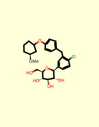 CO[C@H]1CCCC(Oc2ccc(Cc3cc([C@@H]4O[C@H](CO)[C@@H](O)[C@H](O)[C@H]4O)ccc3Cl)cc2)C1